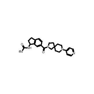 CCC(C)C(=O)NC1CCc2ccc(C(=O)N3CCC4(CCN(c5ccncc5)CC4)C3)cc21